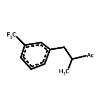 CC(=O)C(C)Cc1cccc(C(F)(F)F)c1